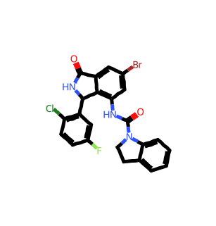 O=C1NC(c2cc(F)ccc2Cl)c2c(NC(=O)N3CCc4ccccc43)cc(Br)cc21